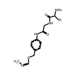 C/N=C\OCc1ccc(NC(=O)CNC(=O)C(NC)C(C)C)cc1